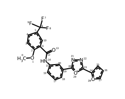 COc1ccc(C(F)(F)F)cc1C(=O)Nc1cccc(-c2nnc(-c3ccco3)o2)c1